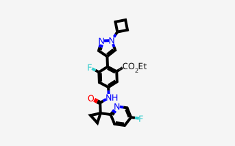 CCOC(=O)c1cc(NC(=O)C2(c3ccc(F)cn3)CC2)cc(F)c1-c1cnn(C2CCC2)c1